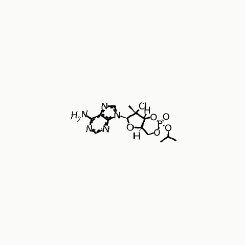 CC(C)O[P@]1(=O)OC[C@H]2O[C@@H](n3cnc4c(N)ncnc43)[C@](C)(Cl)[C@@H]2O1